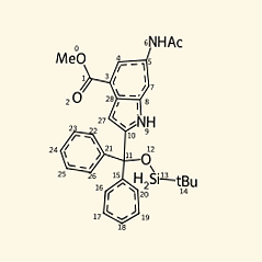 COC(=O)c1cc(NC(C)=O)cc2[nH]c(C(O[SiH2]C(C)(C)C)(c3ccccc3)c3ccccc3)cc12